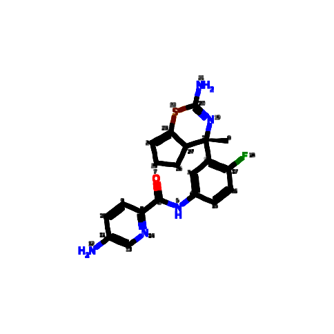 C[C@]1(c2cc(NC(=O)c3ccc(N)cn3)ccc2F)N=C(N)SC2=CCCC21